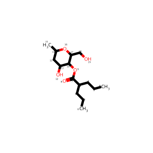 CCCC(CCC)C(=O)OC1C(O)CC(C)OC1CO